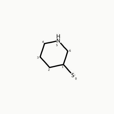 [S]C1CCCNC1